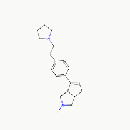 CN1CC2CC=C(c3ccc(CCN4CCCC4)cc3)C2C1